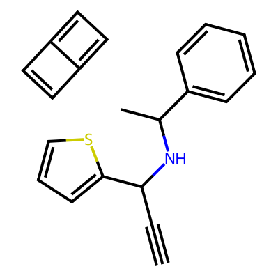 C#CC(NC(C)c1ccccc1)c1cccs1.c1cc2ccc1-2